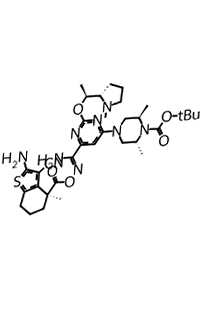 C[C@H](Oc1nc(/C(N)=N/OC(=O)[C@@]2(C)CCCc3sc(N)c(C#N)c32)cc(N2C[C@@H](C)N(C(=O)OC(C)(C)C)[C@H](C)C2)n1)[C@@H]1CCCN1C